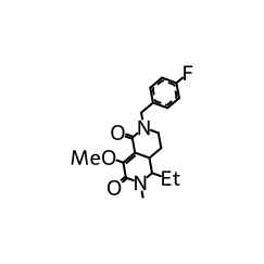 CCC1C2CCN(Cc3ccc(F)cc3)C(=O)C2=C(OC)C(=O)N1C